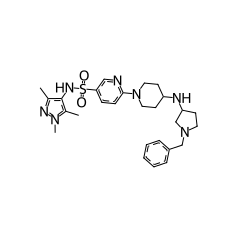 Cc1nn(C)c(C)c1NS(=O)(=O)c1ccc(N2CCC(NC3CCN(Cc4ccccc4)C3)CC2)nc1